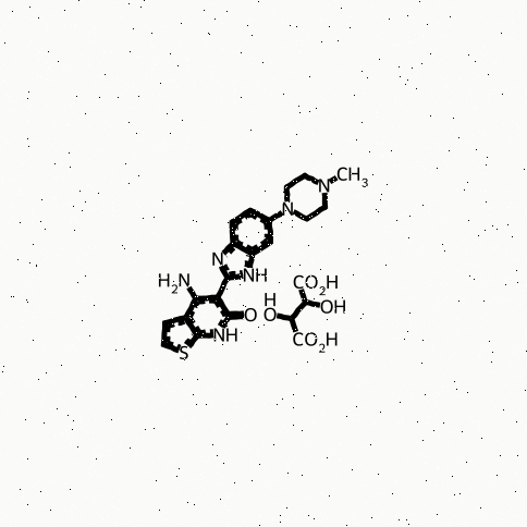 CN1CCN(c2ccc3nc(-c4c(N)c5ccsc5[nH]c4=O)[nH]c3c2)CC1.O=C(O)C(O)C(O)C(=O)O